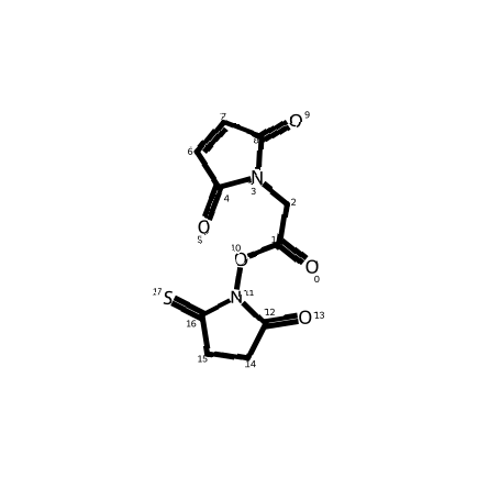 O=C(CN1C(=O)C=CC1=O)ON1C(=O)CCC1=S